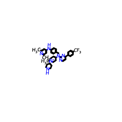 Cc1cc(Nc2ccc(CN(c3nccc(-c4ccc(C(F)(F)F)cc4)n3)C3CC[N+](C)(C4CCNCC4)CC3)cc2)cc(C)n1